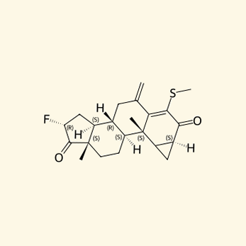 C=C1C[C@H]2[C@@H]3C[C@@H](F)C(=O)[C@@]3(C)CC[C@@H]2[C@]2(C)C1=C(SC)C(=O)[C@H]1CC12